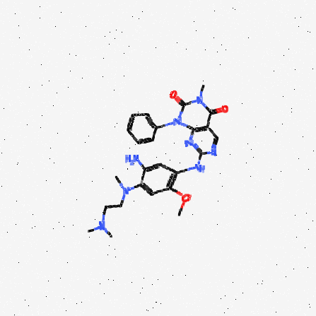 COc1cc(N(C)CCN(C)C)c(N)cc1Nc1ncc2c(=O)n(C)c(=O)n(-c3ccccc3)c2n1